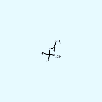 Cl.NNOC(F)(F)F